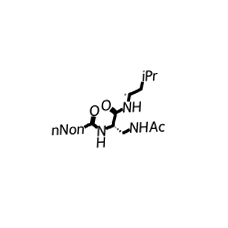 CCCCCCCCCC(=O)N[C@@H](CNC(C)=O)C(=O)N[CH]CC(C)C